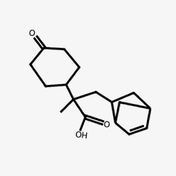 CC(CC1CC2C=CC1C2)(C(=O)O)C1CCC(=O)CC1